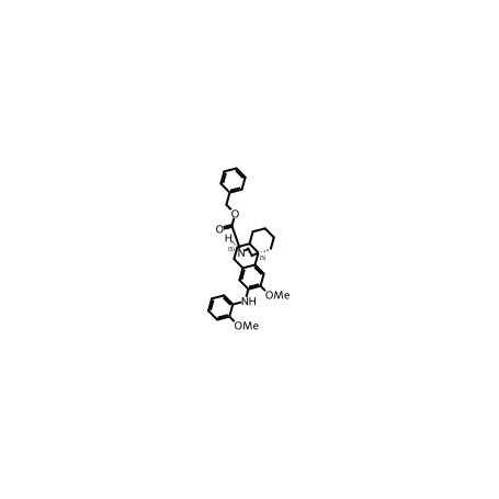 COc1ccccc1Nc1cc2c(cc1OC)[C@]13CCCCC1[C@H](C2)N(C(=O)OCc1ccccc1)CC3